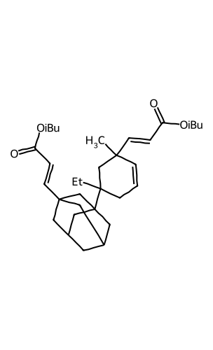 CCC1(C23CC4CC(CC(C=CC(=O)OCC(C)C)(C4)C2)C3)CC=CC(C)(C=CC(=O)OCC(C)C)C1